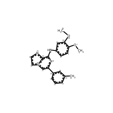 COc1ccc(Nc2nc(-c3cccc(C)c3)cn3ccnc23)cc1OC